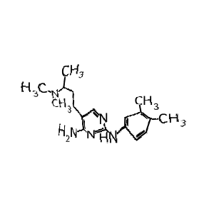 Cc1ccc(Nc2ncc(CCC(C)N(C)C)c(N)n2)cc1C